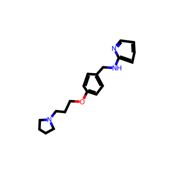 c1ccc(NCc2ccc(OCCCN3CCCC3)cc2)nc1